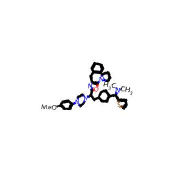 COc1ccc(N2CCN(C(CC3CCC(C(c4cccs4)N(C)C)CC3)c3nc(Cc4ccccc4)c(N4CCCC4)o3)CC2)cc1